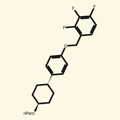 CCCCC[C@H]1CC[C@H](c2ccc(OCc3ccc(F)c(F)c3F)cc2)CC1